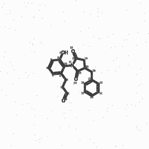 O=[C]CCc1cccc(O)c1N1C(=O)CC(Cc2ccccc2)C1=O